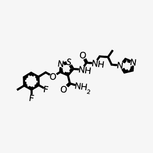 Cc1ccc(COc2nsc(NC(=O)NCC(C)Cn3ccnc3)c2C(N)=O)c(F)c1F